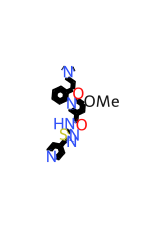 COc1cc(C(=O)Nc2nnc(-c3ccncc3)s2)cnc1OC(CCN(C)C)c1ccccc1